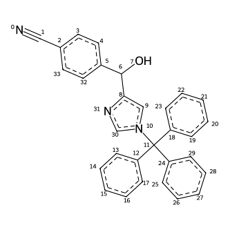 N#Cc1ccc(C(O)c2cn(C(c3ccccc3)(c3ccccc3)c3ccccc3)cn2)cc1